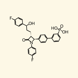 O=C1[C@H](CC[C@H](O)c2ccc(F)cc2)[C@@H](c2ccc(-c3cccc(P(=O)(O)O)c3)cc2)N1c1ccc(F)cc1